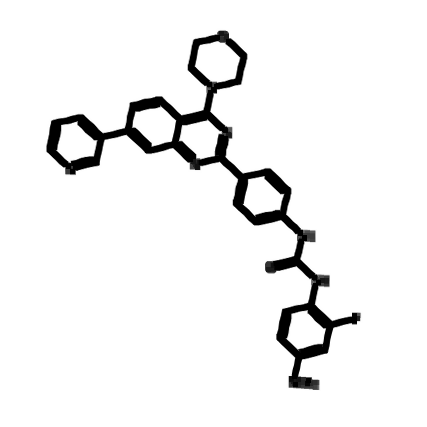 CC(=O)Nc1ccc(NC(=O)Nc2ccc(-c3nc(N4CCOCC4)c4ccc(-c5cccnc5)cc4n3)cc2)c(F)c1